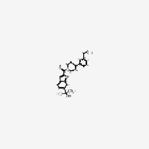 C[C@](O)(C(=O)O)C1=CC=C2C=C(C(=O)N3CCC(c4cccc(CN)c4)CC3)N=C2C1